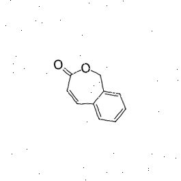 O=C1C=Cc2ccccc2CO1